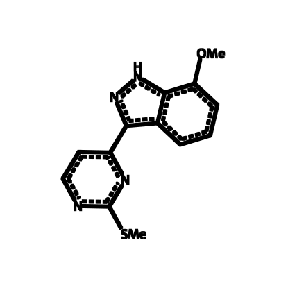 COc1cccc2c(-c3ccnc(SC)n3)n[nH]c12